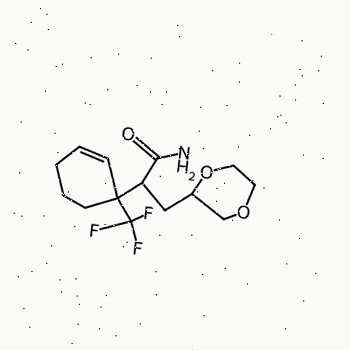 NC(=O)C(CC1COCCO1)C1(C(F)(F)F)C=CCCC1